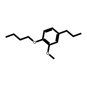 CCCCOc1ccc(CCC)cc1OC